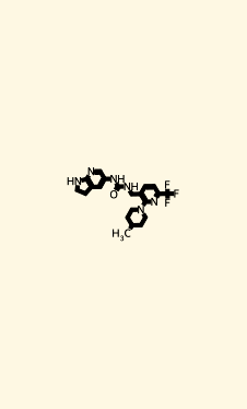 CC1CCN(c2nc(C(F)(F)F)ccc2CNC(=O)Nc2cnc3c(c2)CCN3)CC1